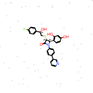 O=C1[C@H](SC[C@H](O)c2ccc(F)cc2)[C@@H](c2ccc(O)cc2O)N1c1ccc(-c2cccnc2)cc1